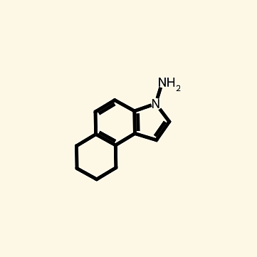 Nn1ccc2c3c(ccc21)CCCC3